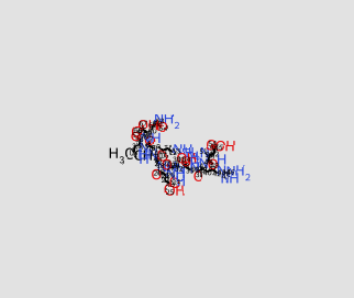 CC(C)C[C@H](NC(=O)[C@H](CCCCN)NC(=O)CNC(=O)[C@H](CC(=O)O)NC(=O)[C@H](CO)NC(=O)CNC(=O)[C@H](CCCNC(=N)N)NC(=O)[C@@H](N)CC(=O)O)C(=O)N[C@@H](CCC(N)=O)C(=O)O